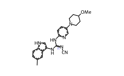 COC1CCN(c2ccc(N/C(=N/C#N)Nc3c[nH]c4ccc(C)cc34)nc2)CC1